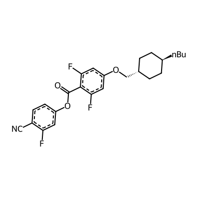 CCCC[C@H]1CC[C@H](COc2cc(F)c(C(=O)Oc3ccc(C#N)c(F)c3)c(F)c2)CC1